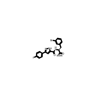 CNC(=O)[C@H](Cc1cccc(Br)c1)NC(=O)c1cc(-c2ccc(F)cc2)n[nH]1